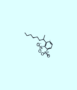 CCCCCCC(C)c1[c]ccc([N+](=O)[O-])c1[N+](=O)[O-]